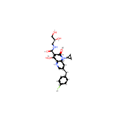 O=C(NC[C@H](O)CO)c1c(O)c2ncc(Cc3ccc(F)cc3)cc2n(C2CC2)c1=O